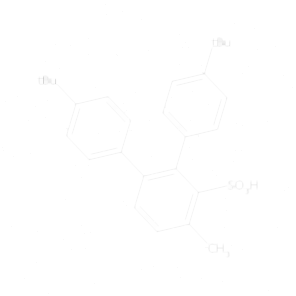 Cc1ccc(-c2ccc(C(C)(C)C)cc2)c(-c2ccc(C(C)(C)C)cc2)c1S(=O)(=O)O